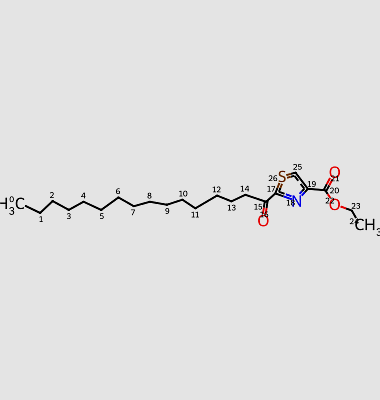 CCCCCCCCCCCCCCCC(=O)c1nc(C(=O)OCC)cs1